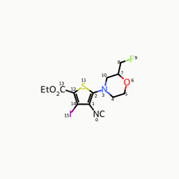 [C-]#[N+]c1c(N2CCOC(CF)C2)sc(C(=O)OCC)c1I